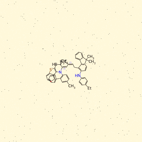 C=C1Bc2sc3ccccc3c2N(c2ccc(C)cc2-c2ccccc2)/C1=C/C(C)=C\Cc1c(Nc2ccc(CC)cc2)ccc2c1-c1ccccc1C2(C)C